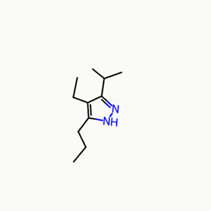 CCCc1[nH]nc(C(C)C)c1CC